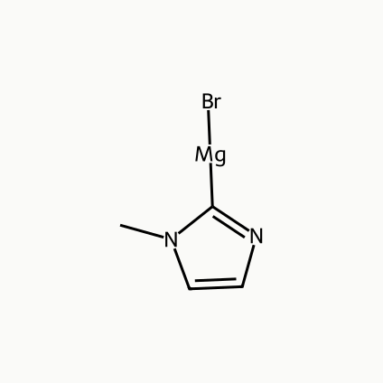 Cn1ccn[c]1[Mg][Br]